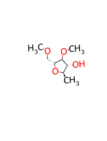 COC[C@H]1O[C@H](C)[C@@H](O)C1OC